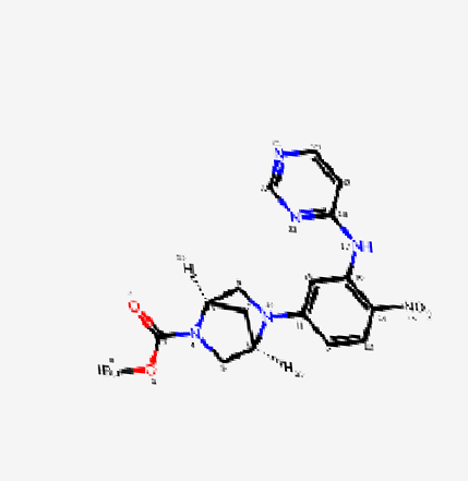 CC(C)(C)OC(=O)N1C[C@H]2C[C@@H]1CN2c1ccc([N+](=O)[O-])c(Nc2ccncn2)c1